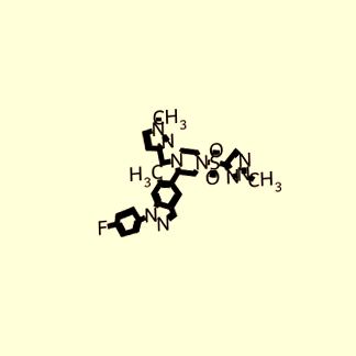 Cc1cc2c(cnn2-c2ccc(F)cc2)cc1C1CN(S(=O)(=O)c2cnn(C)n2)CCN1Cc1ccn(C)n1